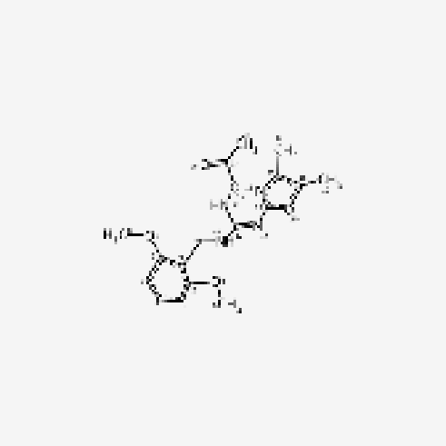 COc1cccc(OC)c1CNC(=Nc1nc(C)c(C)o1)NOC(C)=O